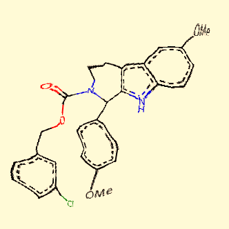 COc1ccc(C2c3[nH]c4ccc(OC)cc4c3CCN2C(=O)OCc2cccc(Cl)c2)cc1